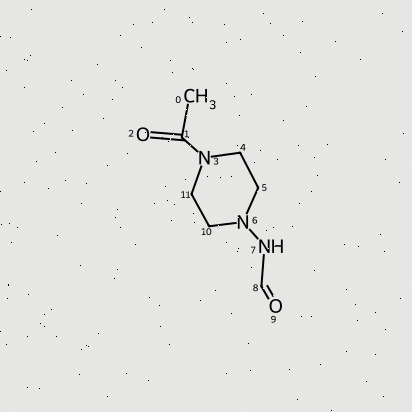 CC(=O)N1CCN(NC=O)CC1